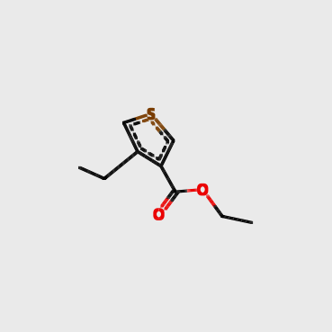 CCOC(=O)c1cscc1CC